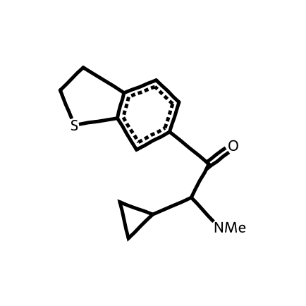 CNC(C(=O)c1ccc2c(c1)SCC2)C1CC1